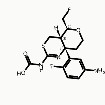 Nc1ccc(F)c([C@]23CCO[C@H](CF)[C@H]2CSC(NC(=O)O)=N3)c1